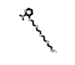 CN(C)c1ncccc1OCCOCCOCCOCCN